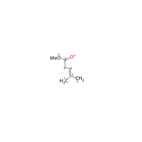 COC(=O)CC=C(C)C